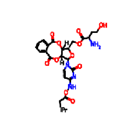 CC(C)CC(=O)ONc1ccn([C@@H]2O[C@H](COC(=O)[C@H](N)CCO)[C@H]3OC(=O)c4ccccc4C(=O)O[C@H]32)c(=O)n1